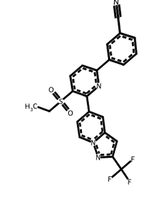 CCS(=O)(=O)c1ccc(-c2cccc(C#N)c2)nc1-c1ccn2nc(C(F)(F)F)cc2c1